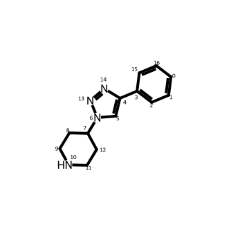 c1ccc(-c2cn(C3CCNCC3)nn2)cc1